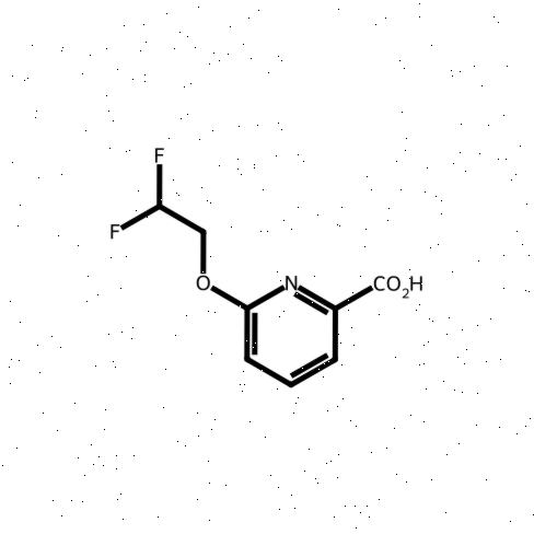 O=C(O)c1cccc(OCC(F)F)n1